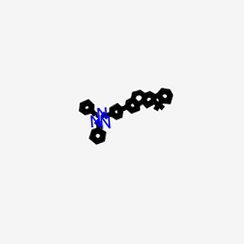 CC1(C)c2ccccc2-c2cc3c(cc21)-c1ccc(-c2ccc(-c4nc(-c5ccccc5)nc(-c5ccccc5)n4)cc2)cc1CC3